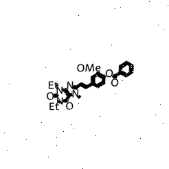 CCn1c(=O)c2c(nc(C=Cc3ccc(OC(=O)c4ccccc4)c(OC)c3)n2C)n(CC)c1=O